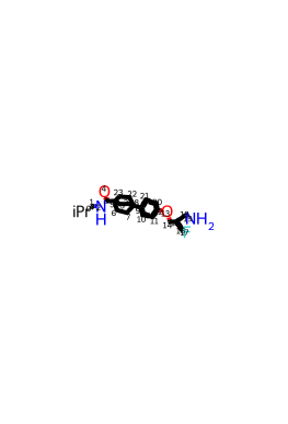 CC(C)CNC(=O)C12CCC(c3ccc(OC/C(=C/F)CN)cc3)(CC1)CC2